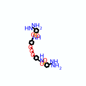 N=C(N)c1cccc(S(=O)(=O)NCc2ccc(OCOCOc3ccc(CNS(=O)(=O)c4cccc(C(=N)N)c4)cc3)cc2)c1